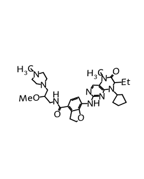 CCC1C(=O)N(C)c2cnc(Nc3ccc(C(=O)NCC(CN4CCN(C)CC4)OC)c4c3OCC4)nc2N1C1CCCC1